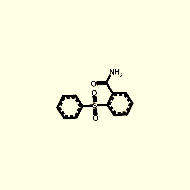 NC(=O)c1ccccc1S(=O)(=O)c1ccccc1